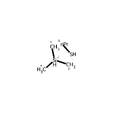 CCCS.C[SiH](C)C